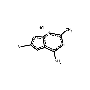 Cc1nc(N)c2cc(Br)sc2n1.Cl